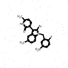 CC(=O)c1c(-c2ccc(C)[nH]c2=O)c2cc(C)ccc2n1Cc1cc([N+](=O)[O-])ccc1F